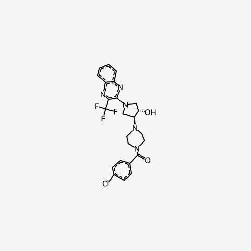 O=C(c1ccc(Cl)cc1)N1CCN([C@H]2CN(c3nc4ccccc4nc3C(F)(F)F)C[C@@H]2O)CC1